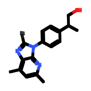 CCc1nc2c(C)cc(C)nc2n1-c1ccc(C(C)CO)cc1